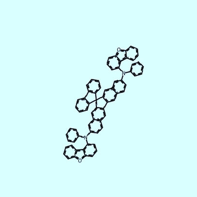 c1ccc(N(c2ccc3cc4c(cc3c2)C2(c3ccccc3-c3ccccc32)c2cc3cc(N(c5ccccc5)c5cccc6oc7ccccc7c56)ccc3cc2-4)c2cccc3oc4ccccc4c23)cc1